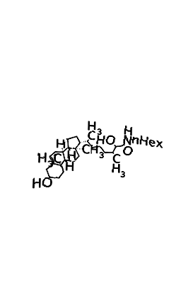 CCCCCCNC(=O)C(O)C(C)CCCC(C)[C@H]1CC[C@H]2[C@@H]3CC=C4C[C@@H](O)CC[C@]4(C)[C@H]3CC[C@]12C